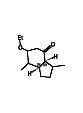 CCOC1CC(=O)[C@H]2C(C)CC[C@H]2C1C